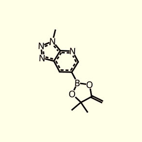 C=C1OB(c2cnc3c(c2)nnn3C)OC1(C)C